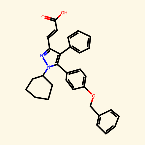 O=C(O)C=Cc1nn(C2CCCCC2)c(-c2ccc(OCc3ccccc3)cc2)c1-c1ccccc1